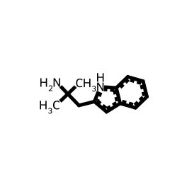 CC(C)(N)Cc1cc2ccccc2[nH]1